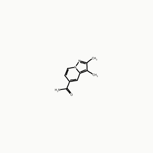 Cc1nn2ccc(C(N)=O)cc2c1C